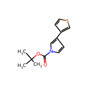 CC(C)(C)OC(=O)n1ccc(-c2ccsc2)c1